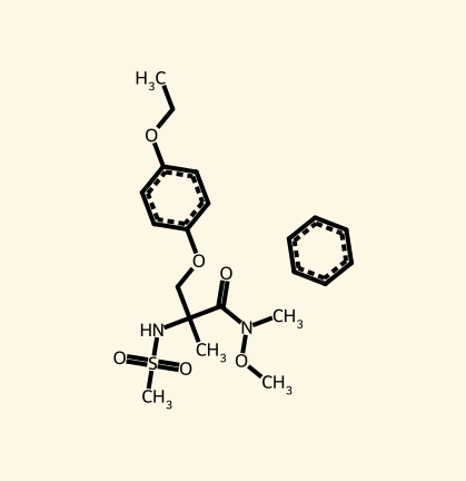 CCOc1ccc(OCC(C)(NS(C)(=O)=O)C(=O)N(C)OC)cc1.c1ccccc1